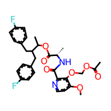 COc1ccnc(C(=O)N[C@@H](C)C(=O)OC(C)C(Cc2ccc(F)cc2)Cc2ccc(F)cc2)c1OCOC(C)=O